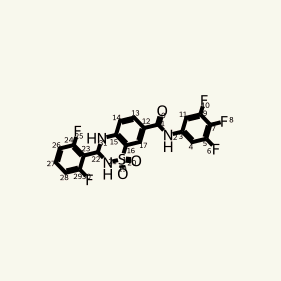 O=C(Nc1cc(F)c(F)c(F)c1)c1ccc2c(c1)S(=O)(=O)NC(c1c(F)cccc1F)N2